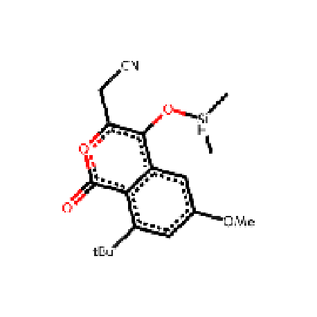 COc1cc(C(C)(C)C)c2c(=O)oc(CC#N)c(O[SiH](C)C)c2c1